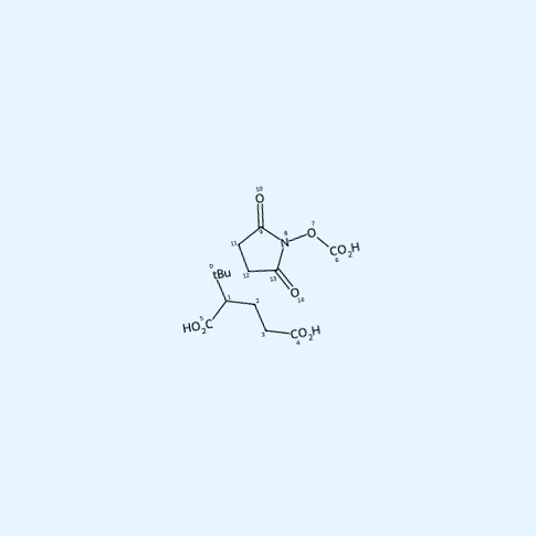 CC(C)(C)C(CCC(=O)O)C(=O)O.O=C(O)ON1C(=O)CCC1=O